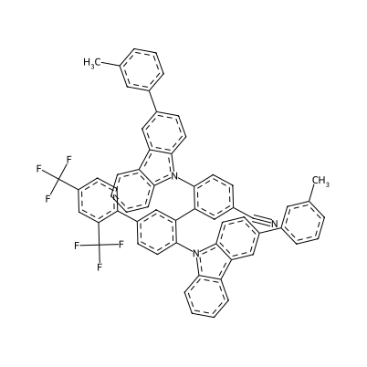 Cc1cccc(-c2ccc3c(c2)c2ccccc2n3-c2ccc(C#N)cc2-c2cc(-c3ccc(C(F)(F)F)cc3C(F)(F)F)ccc2-n2c3ccccc3c3cc(-c4cccc(C)c4)ccc32)c1